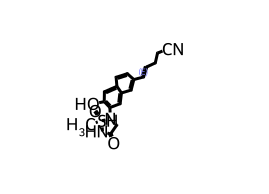 C[SH]1(=O)NC(=O)CN1c1cc2cc(/C=C/CCC#N)ccc2cc1O